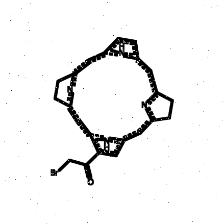 O=C(CBr)c1cc2cc3nc(cc4ccc(cc5nc(cc1[nH]2)CC5)[nH]4)CC3